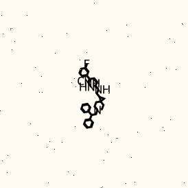 N=C(/C=C\C(=N)c1cc(F)ccc1Cl)NCC1CC12CCN(CC(c1ccccc1)c1ccccc1)CC2